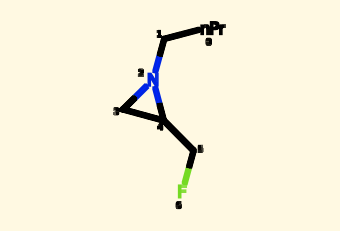 CCCCN1CC1CF